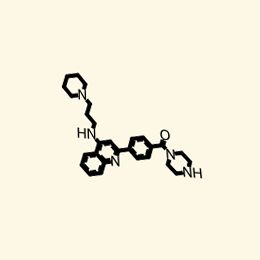 O=C(c1ccc(-c2cc(NCCCN3CCCCC3)c3ccccc3n2)cc1)N1CCNCC1